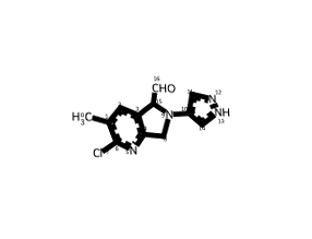 Cc1cc2c(nc1Cl)CN(c1cn[nH]c1)C2C=O